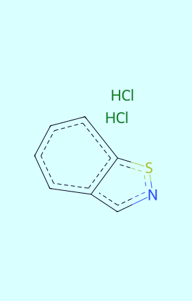 Cl.Cl.c1ccc2sncc2c1